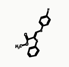 COC(=O)C(=CSc1ccc(F)cc1)Sc1ccccc1